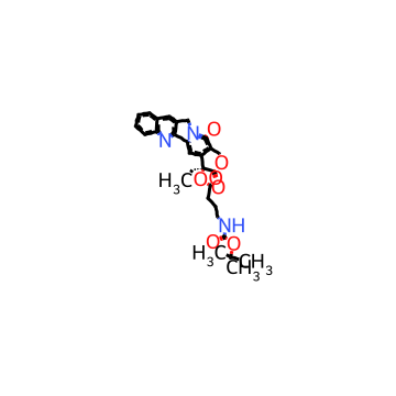 CC[C@@]1(OC(=O)CCCNC(=O)OC(C)(C)C)C(=O)OCc2c1cc1n(c2=O)Cc2cc3ccccc3nc2-1